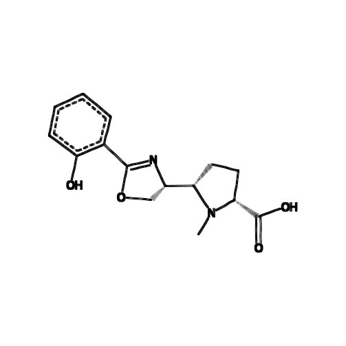 CN1[C@@H](C(=O)O)CC[C@H]1[C@@H]1COC(c2ccccc2O)=N1